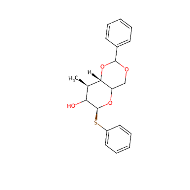 C[C@@H]1C(O)[C@H](Sc2ccccc2)OC2COC(c3ccccc3)O[C@H]21